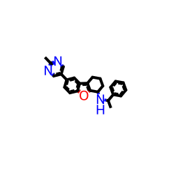 Cc1ncc(-c2ccc3oc4c(c3c2)CCCC4NC(C)c2ccccc2)cn1